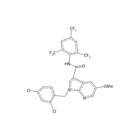 COc1cnc2c(c1)c(C(=O)Nc1c(C(F)(F)F)cc(C(F)(F)F)cc1C(F)(F)F)cn2Cc1ccc(Cl)cc1Cl